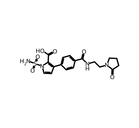 NS(=O)(=O)n1ccc(-c2ccc(C(=O)NCCN3CCCC3=O)cc2)c1C(=O)O